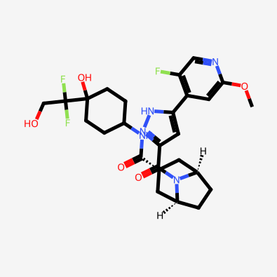 COc1cc(-c2cc(C(=O)N3[C@@H]4CC[C@H]3C[C@H](C(=O)NC3CCC(O)(C(F)(F)CO)CC3)C4)n[nH]2)c(F)cn1